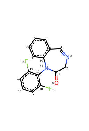 O=C1CN=Cc2ccccc2N1c1c(F)cccc1F